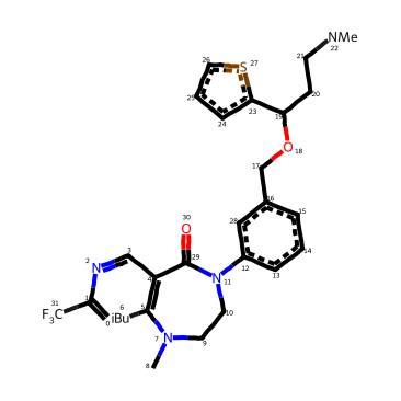 C=C(/N=C\C1=C(C(C)CC)N(C)CCN(c2cccc(COC(CCNC)c3cccs3)c2)C1=O)C(F)(F)F